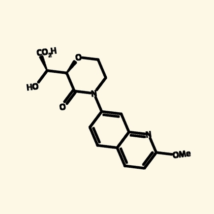 COc1ccc2ccc(N3CCO[C@H]([C@@H](O)C(=O)O)C3=O)cc2n1